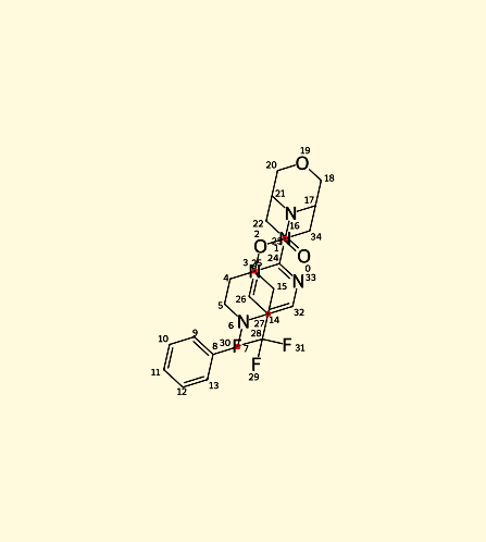 O=C(OC1CCN(Cc2ccccc2)CC1)N1C2COCC1CN(c1ncc(C(F)(F)F)cn1)C2